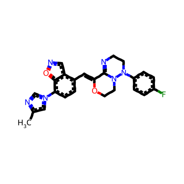 Cc1cn(-c2ccc(/C=C3\OCCN4C3=NCCN4c3ccc(F)cc3)c3cnoc23)cn1